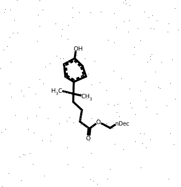 CCCCCCCCCCCOC(=O)CCCC(C)(C)c1ccc(O)cc1